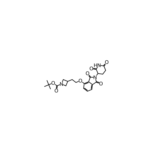 CC(C)(C)OC(=O)N1CC(CCOc2cccc3c2C(=O)N(C2CCC(=O)NC2=O)C3=O)C1